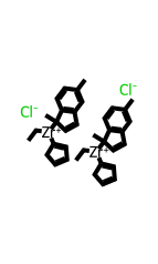 C[CH2][Zr+]([C]1=CC=CC1)[C]1(C)C=Cc2cc(C)ccc21.C[CH2][Zr+]([C]1=CC=CC1)[C]1(C)C=Cc2cc(C)ccc21.[Cl-].[Cl-]